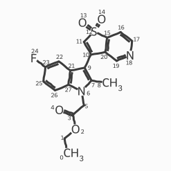 CCOC(=O)Cn1c(C)c(C2=CS(=O)(=O)c3ccncc32)c2cc(F)ccc21